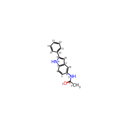 CC(=O)Nc1ccc2[nH]c(-c3c[c]ccc3)cc2c1